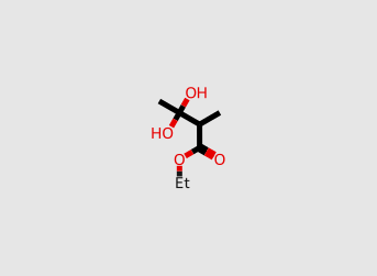 CCOC(=O)C(C)C(C)(O)O